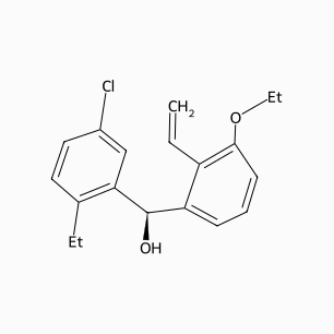 C=Cc1c(OCC)cccc1[C@@H](O)c1cc(Cl)ccc1CC